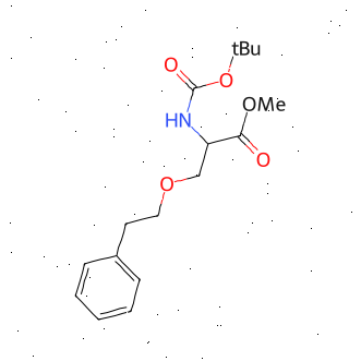 COC(=O)C(COCCc1ccccc1)NC(=O)OC(C)(C)C